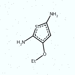 CCOc1cc(N)sc1N